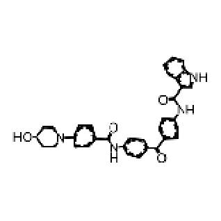 O=C(Nc1ccc(C(=O)c2ccc(NC(=O)c3c[nH]c4ccccc34)cc2)cc1)c1ccc(N2CCC(O)CC2)cc1